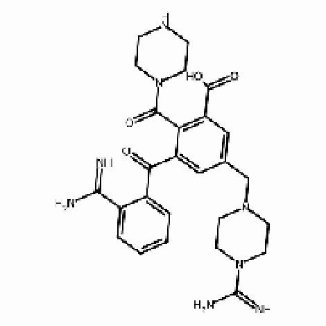 N=C(N)c1ccccc1C(=O)c1cc(CN2CCN(C(=N)N)CC2)cc(C(=O)O)c1C(=O)N1CCNCC1